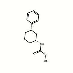 CC(C)(C)OC(=O)N[C@@H]1CCC[C@H](c2ccccc2)C1